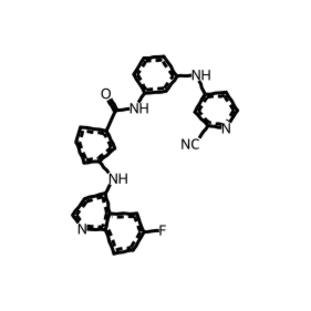 N#Cc1cc(Nc2cccc(NC(=O)c3cccc(Nc4ccnc5ccc(F)cc45)c3)c2)ccn1